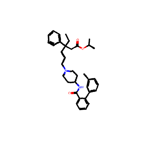 CCC(CCCN1CCC(NC(=O)c2ccccc2-c2cccc(C)c2)CC1)(CC(=O)OC(C)C)c1ccccc1